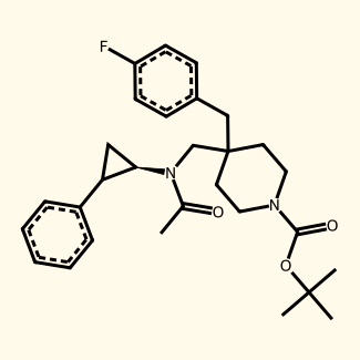 CC(=O)N(CC1(Cc2ccc(F)cc2)CCN(C(=O)OC(C)(C)C)CC1)[C@@H]1CC1c1ccccc1